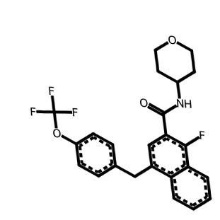 O=C(NC1CCOCC1)c1cc(Cc2ccc(OC(F)(F)F)cc2)c2ccccc2c1F